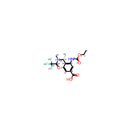 CCOC(=O)Nc1cc(C(=O)O)ccc1[C@@H](C)N(C)C(=O)C(F)(F)F